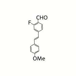 COc1ccc(C=Cc2ccc(C=O)c(F)c2)cc1